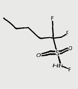 CCCCC(F)(F)S(=O)(=O)NF